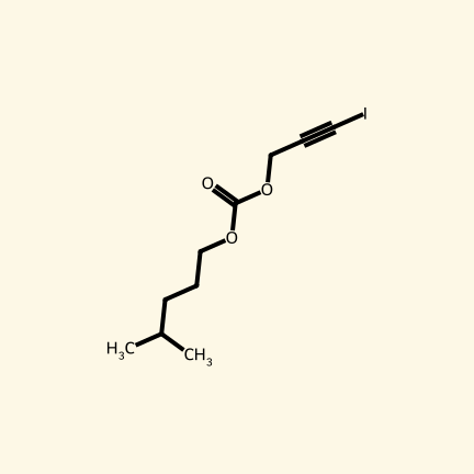 CC(C)CCCOC(=O)OCC#CI